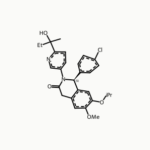 CCC(C)(O)c1ccc(N2C(=O)Cc3cc(OC)c(OC(C)C)cc3[C@@H]2c2ccc(Cl)cc2)cn1